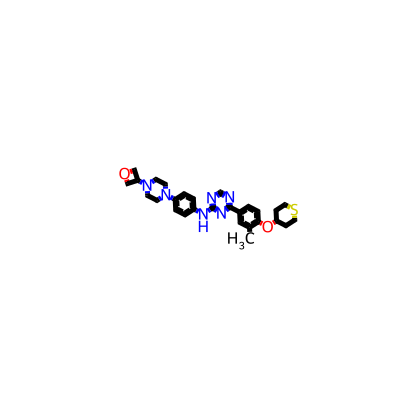 Cc1cc(-c2ncnc(Nc3ccc(N4CCN(C5COC5)CC4)cc3)n2)ccc1OC1CCSCC1